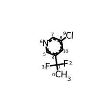 CC(F)(F)c1cncc(Cl)c1